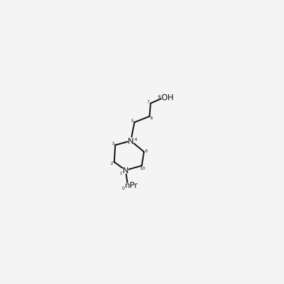 [CH2]CCN1CCN(CCCO)CC1